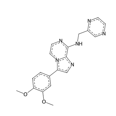 COc1ccc(-c2cnc3c(NCc4cnccn4)nccn23)cc1OC